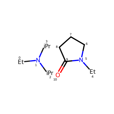 CCN(C(C)C)C(C)C.CCN1CCCC1=O